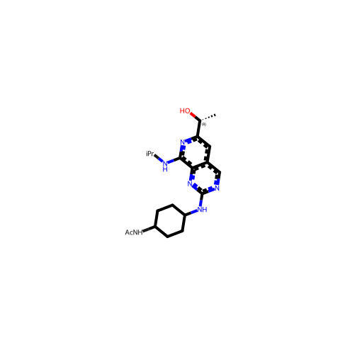 CC(=O)NC1CCC(Nc2ncc3cc([C@@H](C)O)nc(NC(C)C)c3n2)CC1